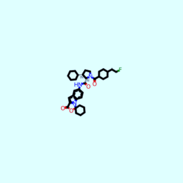 O=C1OC2(CCCCC2)n2c1cc1cc(NC(=O)[C@@H]3[C@H](C4CCCCC4)CCN3C(=O)C3CCC([CH]CF)CC3)ccc12